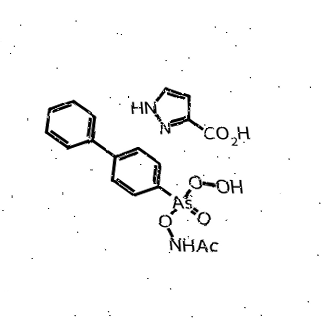 CC(=O)NO[As](=O)(OO)c1ccc(-c2ccccc2)cc1.O=C(O)c1cc[nH]n1